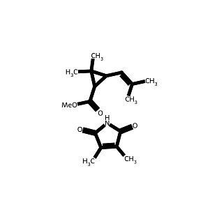 CC1=C(C)C(=O)NC1=O.COC(=O)C1C(C=C(C)C)C1(C)C